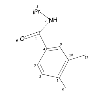 Cc1ccc(C(=O)NC(C)C)cc1C